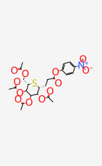 CC(=O)OC[C@@H]1S[C@H](CCC(=O)Oc2ccc([N+](=O)[O-])cc2)[C@H](OC(C)=O)[C@@H](OC(C)=O)[C@H]1OC(C)=O